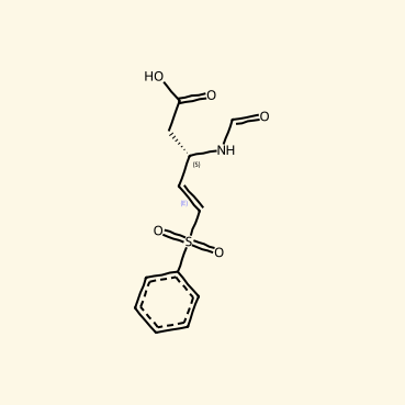 O=CN[C@H](/C=C/S(=O)(=O)c1ccccc1)CC(=O)O